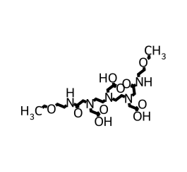 CCOCCNC(=O)CN(CCN(CCN(CC(=O)O)CC(=O)NCCOCC)CC(=O)O)CC(=O)O